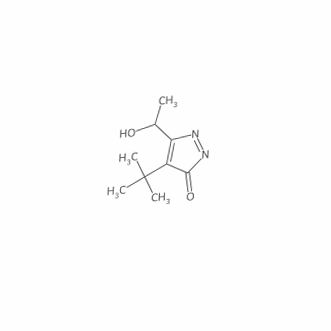 CC(O)C1=C(C(C)(C)C)C(=O)N=N1